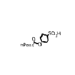 CCCCCC(=O)Oc1ccc(S(=O)(=O)O)cc1